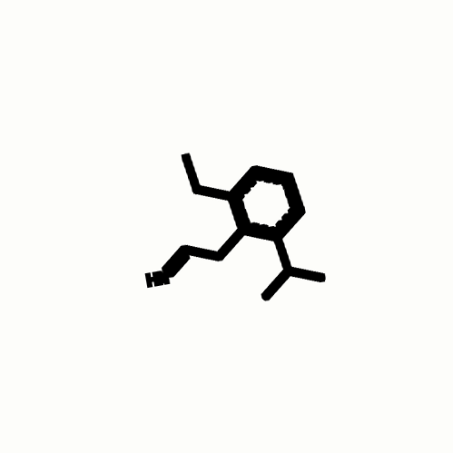 CCc1cccc(C(C)C)c1CC=N